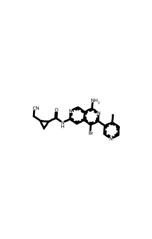 Cc1ccncc1-c1nc(N)c2cnc(NC(=O)C3CC3CC#N)cc2c1Br